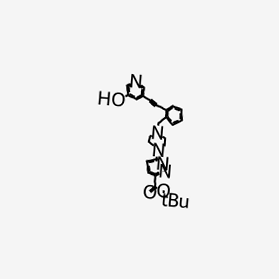 CC(C)(C)OC(=O)c1ccc(N2CCN(Cc3ccccc3C#Cc3cncc(O)c3)CC2)nn1